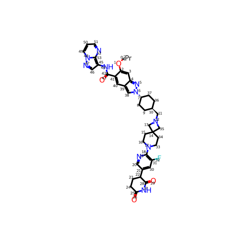 CC(C)Oc1cc2nn([C@H]3CC[C@H](CN4CC5(CCN(c6ncc(C7CCC(=O)NC7=O)cc6F)CC5)C4)CC3)cc2cc1C(=O)Nc1cnn2cccnc12